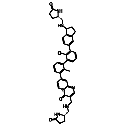 Cc1c(-c2ccn3c(=O)c(CNC[C@@H]4CCC(=O)N4)cnc3c2)cccc1-c1cccc(-c2ccc3c(c2)CCC3NC[C@@H]2CCC(=O)N2)c1Cl